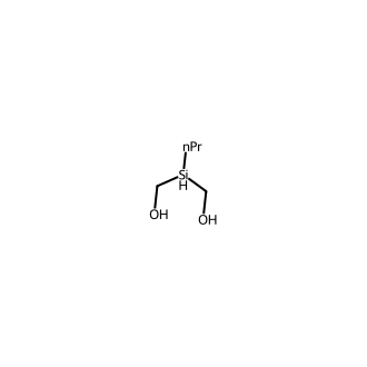 CCC[SiH](CO)CO